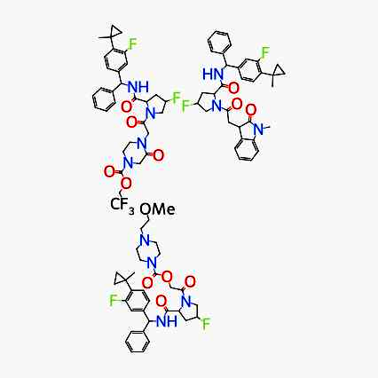 CC1(c2ccc(C(NC(=O)C3CC(F)CN3C(=O)CN3CCN(C(=O)OCC(F)(F)F)CC3=O)c3ccccc3)cc2F)CC1.CN1C(=O)C(CC(=O)N2CC(F)CC2C(=O)NC(c2ccccc2)c2ccc(C3(C)CC3)c(F)c2)c2ccccc21.COCCN1CCN(C(=O)OCC(=O)N2CC(F)CC2C(=O)NC(c2ccccc2)c2ccc(C3(C)CC3)c(F)c2)CC1